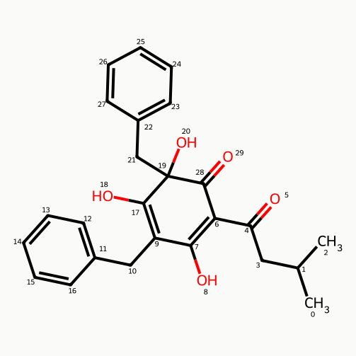 CC(C)CC(=O)C1=C(O)C(Cc2ccccc2)=C(O)C(O)(Cc2ccccc2)C1=O